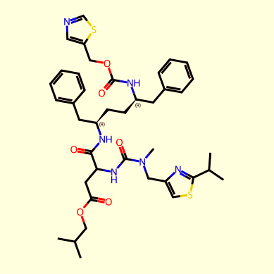 CC(C)COC(=O)CC(NC(=O)N(C)Cc1csc(C(C)C)n1)C(=O)N[C@H](CC[C@H](Cc1ccccc1)NC(=O)OCc1cncs1)Cc1ccccc1